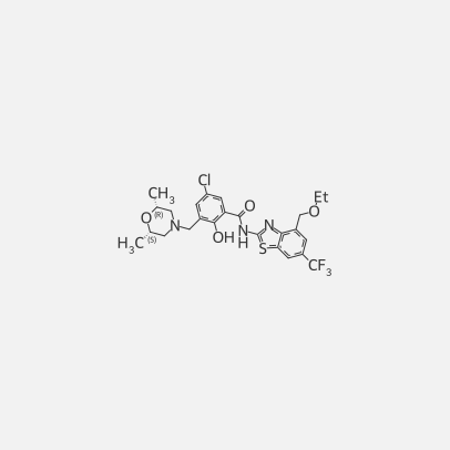 CCOCc1cc(C(F)(F)F)cc2sc(NC(=O)c3cc(Cl)cc(CN4C[C@@H](C)O[C@@H](C)C4)c3O)nc12